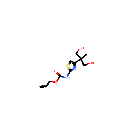 C=CCOC(=O)Nc1nc(C(C)(CO)CO)cs1